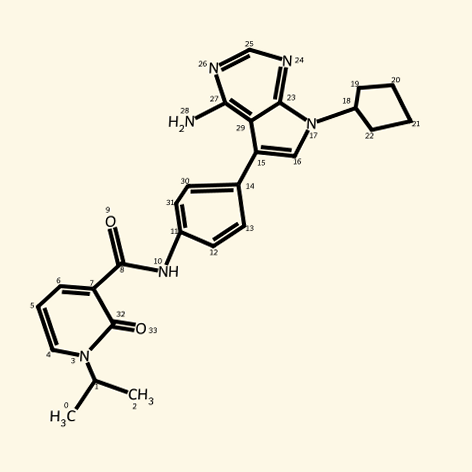 CC(C)n1cccc(C(=O)Nc2ccc(-c3cn(C4CCCC4)c4ncnc(N)c34)cc2)c1=O